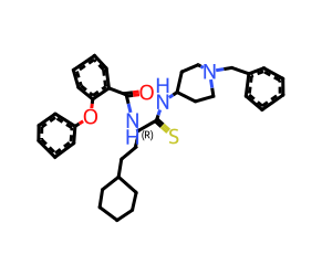 O=C(N[C@H](CCC1CCCCC1)C(=S)NC1CCN(Cc2ccccc2)CC1)c1ccccc1Oc1ccccc1